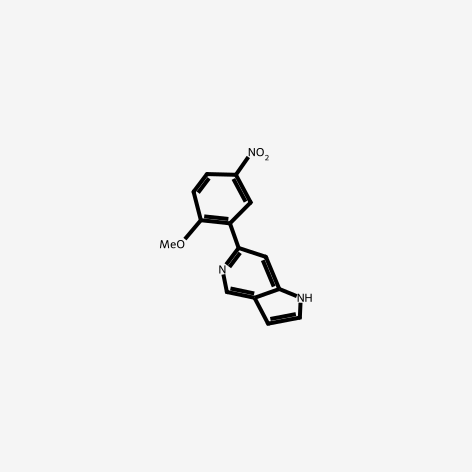 COc1ccc([N+](=O)[O-])cc1-c1cc2[nH]ccc2cn1